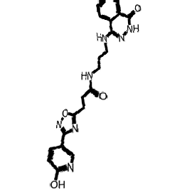 O=C(CCc1nc(-c2ccc(O)nc2)no1)NCCCNc1n[nH]c(=O)c2ccccc12